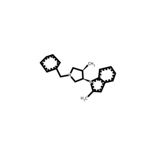 Cc1cc2ccccc2n1[C@H]1CN(Cc2ccccc2)C[C@H]1C